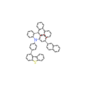 c1cc(-c2ccc3ccccc3c2)cc(N(c2ccc(-c3cccc4sc5ccccc5c34)cc2)c2ccccc2-c2cc3ccccc3c3ccccc23)c1